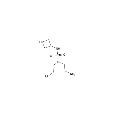 CCCN(CCN)S(=O)(=O)NC1CNC1